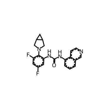 O=C(Nc1cc(F)cc(F)c1N1CC2CC2C1)Nc1cccc2cnccc12